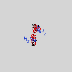 COc1cc(C(=O)N2C=C(C)CC2CO[Si](C)(C)C(C)(C)C)c(N)cc1OCCCCCOc1cc(N)c(C(=O)N2C=C(C)C[C@H]2CO[Si](C)(C)C(C)(C)C)cc1OC